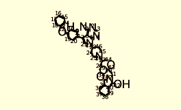 Nc1ncnc2c1c(-c1ccc(Oc3ccccc3)cc1)cn2C1CCN(C2COC(CN3C(=O)c4ccccc4C3O)OC2)CC1